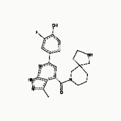 Cc1n[nH]c2nc(-c3ccc(O)c(F)c3)cc(C(=O)N3CCCC4(CCNC4)C3)c12